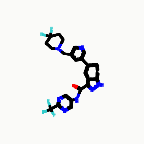 O=C(Nc1cnc(C(F)(F)F)nc1)c1n[nH]c2ccc(-c3cncc(CN4CCC(F)(F)CC4)c3)cc12